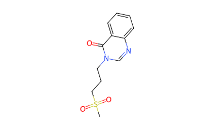 CS(=O)(=O)CCCn1cnc2ccccc2c1=O